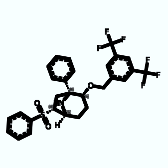 O=S(=O)(c1ccccc1)[C@@H]1C[C@]2(c3ccccc3)N[C@H]1CC[C@@H]2OCc1cc(C(F)(F)F)cc(C(F)(F)F)c1